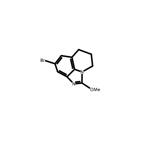 COc1nc2cc(Br)cc3c2n1CCC3